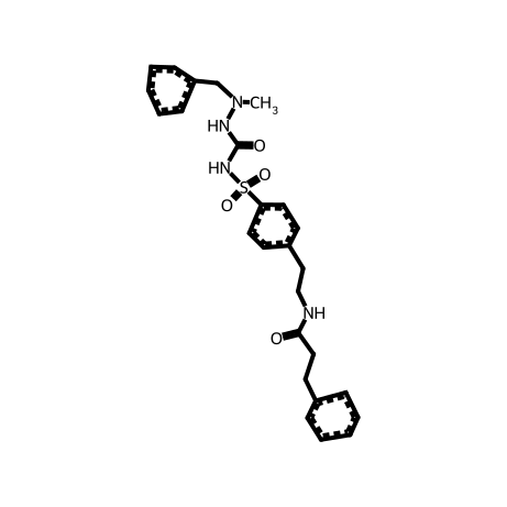 CN(Cc1ccccc1)NC(=O)NS(=O)(=O)c1ccc(CCNC(=O)CCc2ccccc2)cc1